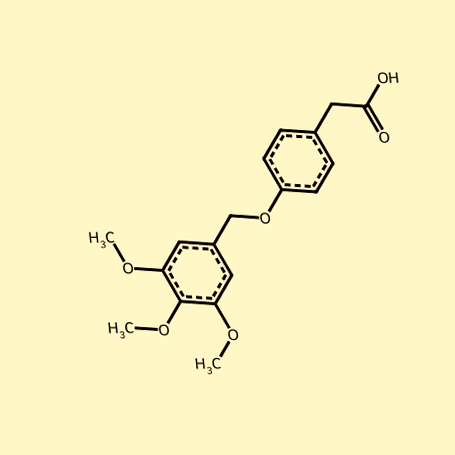 COc1cc(COc2ccc(CC(=O)O)cc2)cc(OC)c1OC